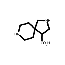 O=C(O)C1CNCC12CCNCC2